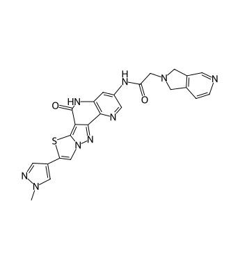 Cn1cc(-c2cn3nc4c5ncc(NC(=O)CN6Cc7ccncc7C6)cc5[nH]c(=O)c4c3s2)cn1